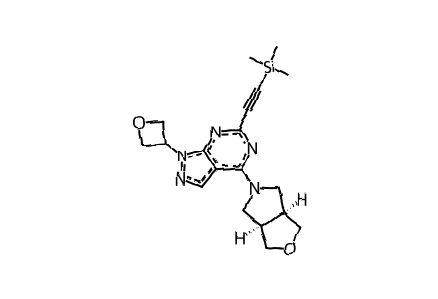 C[Si](C)(C)C#Cc1nc(N2C[C@H]3COC[C@H]3C2)c2cnn(C3COC3)c2n1